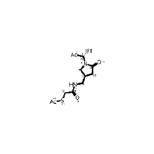 CC[C@@H](C(C)=O)N1CC(CNC(=O)CSC(C)=O)CC1=O